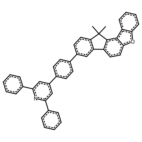 CC1(C)c2ccc(-c3ccc(-c4cc(-c5ccccc5)nc(-c5ccccc5)c4)cc3)cc2-c2ccc3oc4ccccc4c3c21